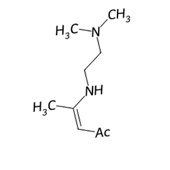 CC(=O)C=C(C)NCCN(C)C